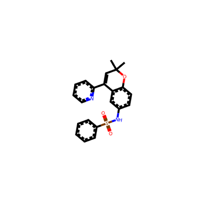 CC1(C)C=C(c2ccccn2)c2cc(NS(=O)(=O)c3ccccc3)ccc2O1